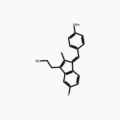 CSc1ccc(/C=C2\C(C)=C(CCC#N)c3cc(F)ccc32)cc1